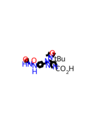 CC1COCCN1c1nc(-c2ccc(NC(=O)NC3COC3)cc2)nc2c1[C@H](C(C)(C)C)CN(C(=O)O)C2